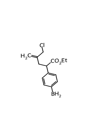 Bc1ccc(C(CC(=C)CCl)C(=O)OCC)cc1